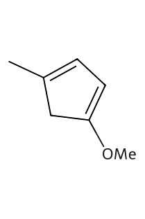 COC1=CC=C(C)C1